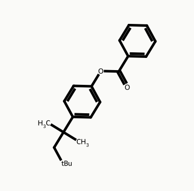 CC(C)(C)CC(C)(C)c1ccc(OC(=O)c2ccccc2)cc1